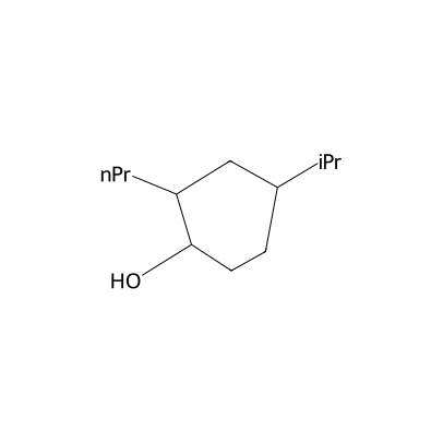 CCCC1CC(C(C)C)CCC1O